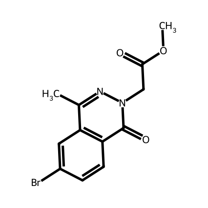 COC(=O)Cn1nc(C)c2cc(Br)ccc2c1=O